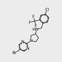 FC(F)(F)c1cc(Cl)ccc1CNC1CCN(c2ncc(Br)cn2)C1